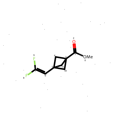 COC(=O)C12CC(C=C(F)F)(C1)C2